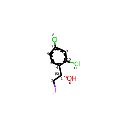 O[C@H](CI)c1ccc(Cl)cc1Cl